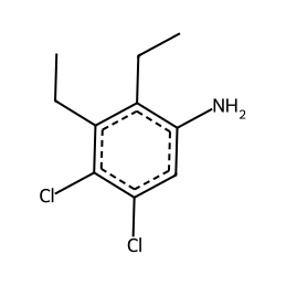 CCc1c(N)cc(Cl)c(Cl)c1CC